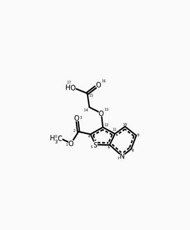 COC(=O)c1sc2ncccc2c1OCC(=O)O